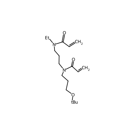 C=CC(=O)N(CC)CCCN(CCCOC(C)(C)C)C(=O)C=C